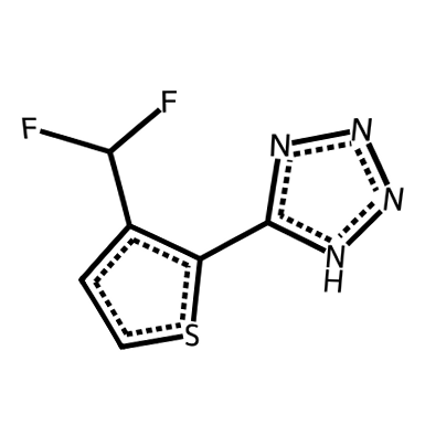 FC(F)c1ccsc1-c1nnn[nH]1